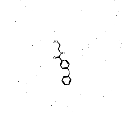 O=C(NCCS)c1ccc(Oc2ccccc2)cc1